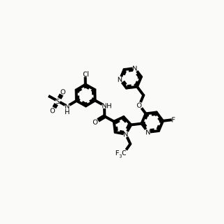 CS(=O)(=O)Nc1cc(Cl)cc(NC(=O)c2cc(-c3ncc(F)cc3OCc3cncnc3)n(CC(F)(F)F)c2)c1